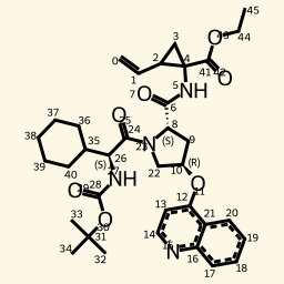 C=CC1CC1(NC(=O)[C@@H]1C[C@@H](Oc2ccnc3ccccc23)CN1C(=O)[C@@H](NC(=O)OC(C)(C)C)C1CCCCC1)C(=O)OCC